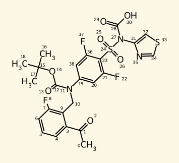 CC(=O)c1cccc(F)c1CN(C(=O)OC(C)(C)C)c1cc(F)c(S(=O)(=O)N(C(=O)O)c2cscn2)c(F)c1